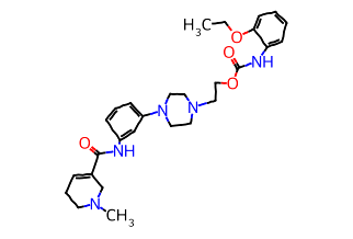 CCOc1ccccc1NC(=O)OCCN1CCN(c2cccc(NC(=O)C3=CCCN(C)C3)c2)CC1